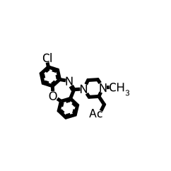 CC(=O)CC1CN(C2=Nc3cc(Cl)ccc3Oc3ccccc32)CCN1C